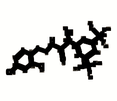 O=C(NCCc1ccc(Cl)cc1Cl)N(S)c1cc(C(F)(F)F)cc(C(F)(F)F)c1